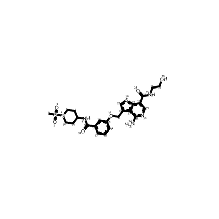 CS(=O)(=O)N1CCC(NC(=O)c2cccc(OCc3csc4c(C(=O)NCCO)cnc(N)c34)c2)CC1